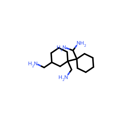 NCC1CCCC(CN)(C2(C(N)N)CCCCC2)C1